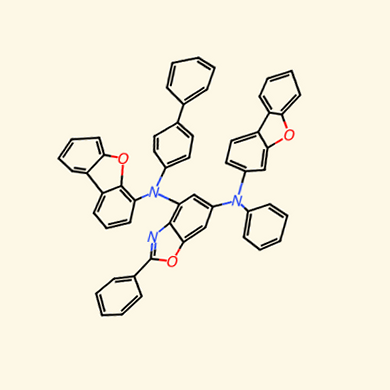 c1ccc(-c2ccc(N(c3cc(N(c4ccccc4)c4ccc5c(c4)oc4ccccc45)cc4oc(-c5ccccc5)nc34)c3cccc4c3oc3ccccc34)cc2)cc1